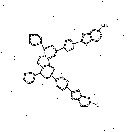 Cc1ccc2nc(-c3ccc(-c4cc(-c5ccccc5)c5ccc6c(-c7ccccc7)cc(-c7ccc(-c8nc9ccc(C)cc9s8)cc7)nc6c5n4)cc3)sc2c1